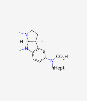 CCCCCCCN(C(=O)O)c1ccc2c(c1)[C@]1(C)CCN(C)[C@@H]1N2C